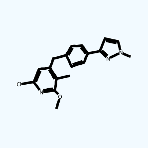 COc1nc(Cl)cc(Cc2ccc(-c3ccn(C)n3)cc2)c1C